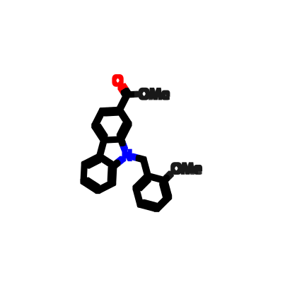 COC(=O)c1ccc2c3ccccc3n(Cc3ccccc3OC)c2c1